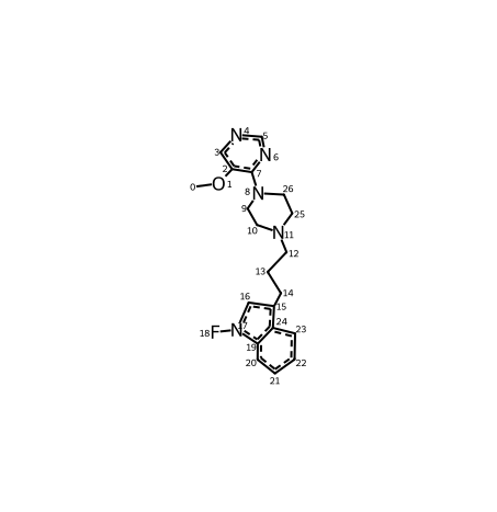 COc1cncnc1N1CCN(CCCc2cn(F)c3ccccc23)CC1